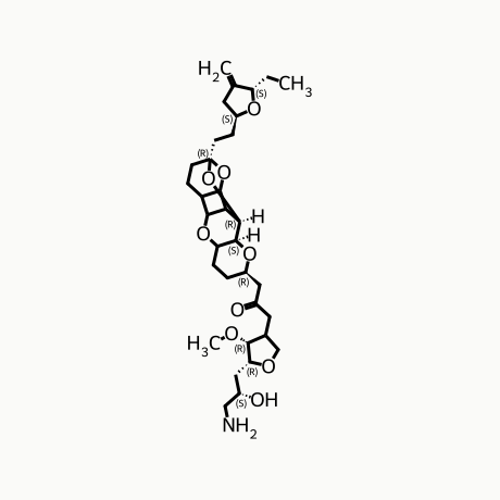 C=C1C[C@H](CC[C@@]23CCC4C5OC6CC[C@H](CC(=O)CC7CO[C@H](C[C@H](O)CN)[C@@H]7OC)O[C@@H]6[C@H](O2)C5C4O3)O[C@H]1CC